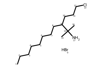 Br.CCCCCCCCC(CCCCl)C(C)(C)N